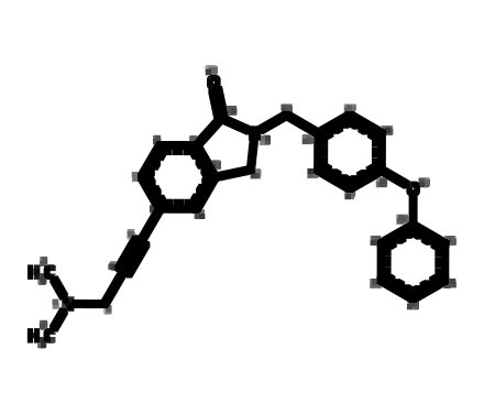 CN(C)CC#Cc1ccc2c(c1)CN(Cc1ccc(Oc3ccccc3)cc1)C2=O